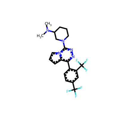 CN(C)C1CCCN(c2nnc(-c3ccc(C(F)(F)F)cc3C(F)(F)F)c3cccn23)C1